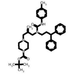 C=C(CN1CCN(C(=O)OC(C)(C)C)CC1)CN(CCC(c1ccccc1)c1ccccc1)C(=O)Nc1ccc(C)cc1